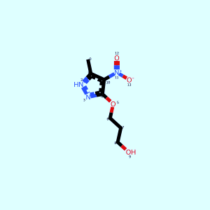 Cc1[nH]nc(OCCCO)c1[N+](=O)[O-]